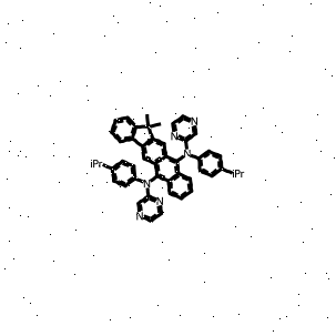 CC(C)c1ccc(N(c2cnccn2)c2c3ccccc3c(N(c3ccc(C(C)C)cc3)c3cnccn3)c3cc4c(cc23)-c2ccccc2C4(C)C)cc1